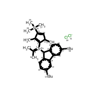 CC1=[C]([Zr+2](=[C](C)C)[CH]2c3ccc(C(C)(C)C)cc3-c3cc(C(C)(C)C)ccc32)C(C)C=C1[Si](C)(C)C.[Cl-].[Cl-]